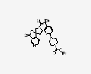 CC(C)OC(=O)N1CCN(c2ccc(C3(C(=O)N4CCC5(C4)OC(=O)c4cnccc45)CC3)cn2)CC1